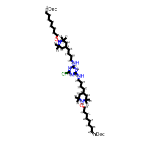 CCCCCCCCCCCCCCCCCCON1C(C)(C)CC(CCCCNc2nc(Cl)nc(NCCCCC3CC(C)(C)N(OCCCCCCCCCCCCCCCCCC)C(C)(C)C3)n2)CC1(C)C